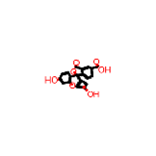 O=C1OC2(C3=CCC(C(=O)O)C=C13)c1ccc(O)cc1Oc1cc(O)ccc12